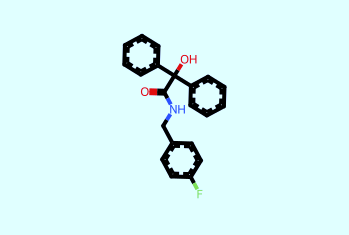 O=C(NCc1ccc(F)cc1)C(O)(c1ccccc1)c1ccccc1